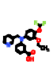 CCOc1cc(N(Cc2cccnc2)c2cccc(C(=O)O)c2)ccc1OC(F)F